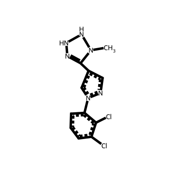 CN1NNN=C1c1cnn(-c2cccc(Cl)c2Cl)c1